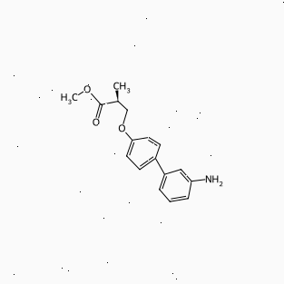 COC(=O)[C@@H](C)COc1ccc(-c2cccc(N)c2)cc1